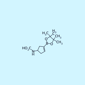 CC1(C)OB(C2=CCC(NC(=O)O)C2)OC1(C)C